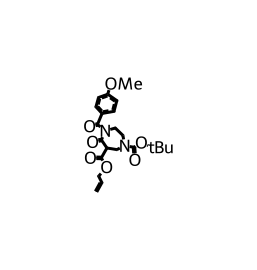 C=CCOC(=O)C1CN(C(=O)OC(C)(C)C)CCN(C(=O)c2ccc(OC)cc2)C1=O